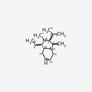 C=C(C(=C(C)C)N(C)/C=C\C)N1CCNCC1